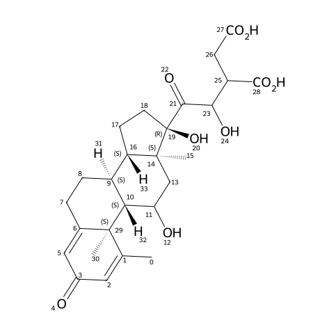 CC1=CC(=O)C=C2CC[C@@H]3[C@H](C(O)C[C@@]4(C)[C@H]3CC[C@]4(O)C(=O)C(O)C(CC(=O)O)C(=O)O)[C@@]12C